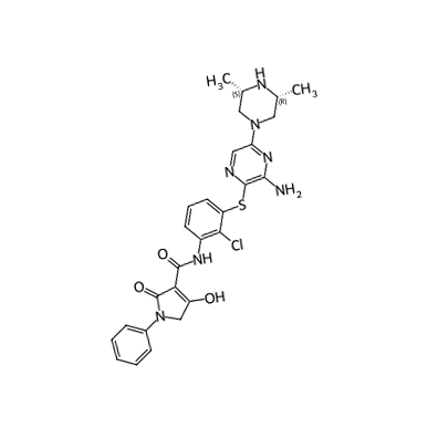 C[C@@H]1CN(c2cnc(Sc3cccc(NC(=O)C4=C(O)CN(c5ccccc5)C4=O)c3Cl)c(N)n2)C[C@H](C)N1